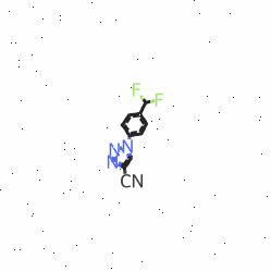 N#Cc1cn(-c2ccc(C(F)F)cc2)nn1